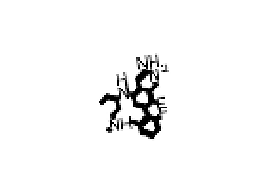 CCC(CCNC)Nc1cc(-c2c(C)cccc2F)c(F)c2cnc(N)cc12